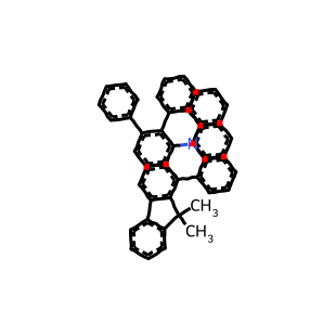 CC1(C)c2ccccc2-c2cccc(-c3ccccc3N(c3ccccc3)c3cccc(-c4ccccc4)c3-c3ccccc3-c3ccccc3)c21